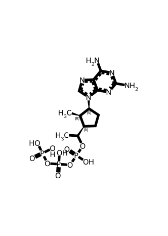 CC(OP(=O)(O)OP(=O)(O)OP(=O)(O)O)[C@@H]1CC[C@H](n2cnc3c(N)nc(N)nc32)[C@@H]1C